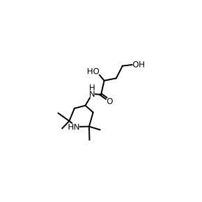 CC1(C)CC(NC(=O)C(O)CCO)CC(C)(C)N1